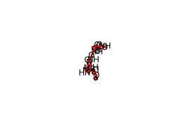 O=C1CCC(N2C(=O)c3cccc(NCCOCCNC(=O)N4CCC(Nc5ncnc6[nH]cc(C(=O)c7ccc(Oc8ccccc8)cc7Cl)c56)CC4)c3C2=O)C(=O)N1